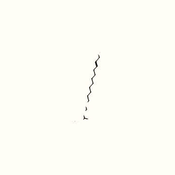 COC(C)OCOCCCCCCCCC=CCO